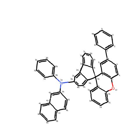 c1ccc(-c2ccc3c(c2)C2(c4ccccc4O3)c3ccccc3-c3cc(N(c4ccccc4)c4ccc5ccccc5c4)ccc32)cc1